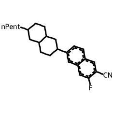 CCCCCC1CCC2CC(c3ccc4cc(C#N)c(F)cc4c3)CCC2C1